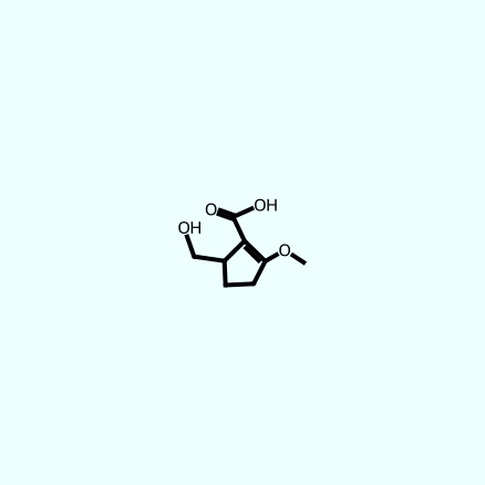 COC1=C(C(=O)O)C(CO)CC1